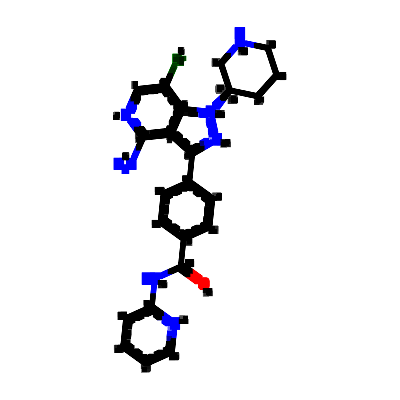 Nc1ncc(Br)c2c1c(-c1ccc(C(=O)Nc3ccccn3)cc1)nn2[C@@H]1CCCNC1